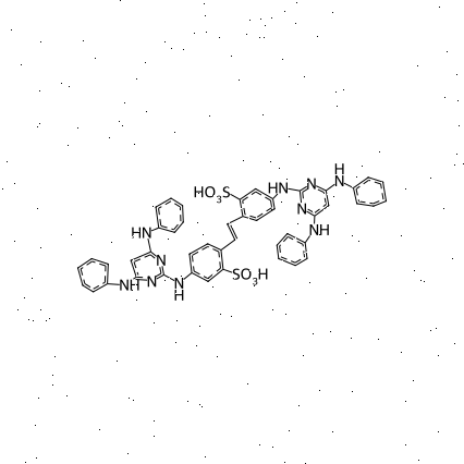 O=S(=O)(O)c1cc(Nc2nc(Nc3ccccc3)cc(Nc3ccccc3)n2)ccc1C=Cc1ccc(Nc2nc(Nc3ccccc3)cc(Nc3ccccc3)n2)cc1S(=O)(=O)O